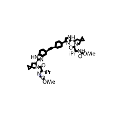 COO/C=N\[C@H](C(=O)N1CC2(CC2)C[C@H]1c1nc2cc(C#Cc3ccc(-c4c[nH]c([C@@H]5CC6(CC6)CN5C(=O)[C@@H](NC(=O)OC)C(C)C)n4)cc3)ccc2[nH]1)C(C)C